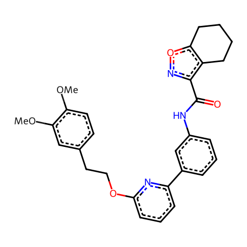 COc1ccc(CCOc2cccc(-c3cccc(NC(=O)c4noc5c4CCCC5)c3)n2)cc1OC